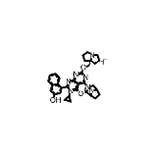 O=c1c2c(N3CC4CCC(C3)N4)nc(OC[C@@]34CCCN3C[C@H](F)C4)nc2nc(-c2cc(O)cc3ccccc23)n1C1CC1